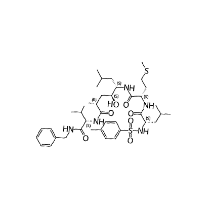 CSCC[C@H](NC(=O)[C@H](CC(C)C)NS(=O)(=O)c1ccc(C)cc1)C(=O)N[C@@H](CC(C)C)[C@@H](O)C[C@@H](C)C(=O)N[C@H](C(=O)NCc1ccccc1)C(C)C